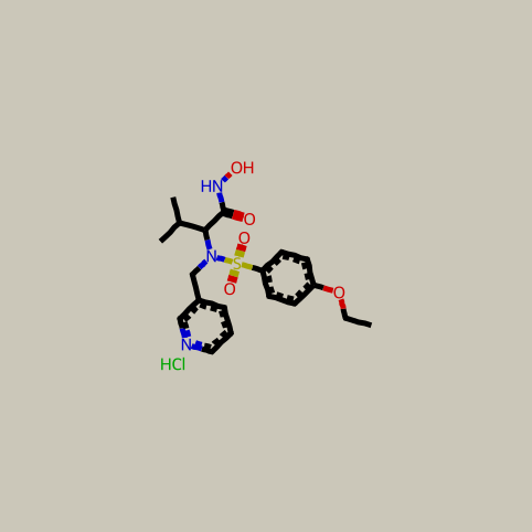 CCOc1ccc(S(=O)(=O)N(Cc2cccnc2)C(C(=O)NO)C(C)C)cc1.Cl